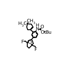 CC1(C)CC=C(c2cc(C3CC4(CF)CCC(CF)(C3)O4)ccc2NC(=O)OC(C)(C)C)CC1